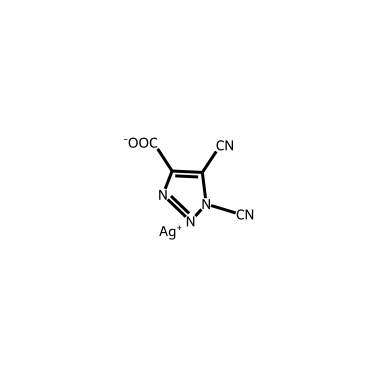 N#Cc1c(C(=O)[O-])nnn1C#N.[Ag+]